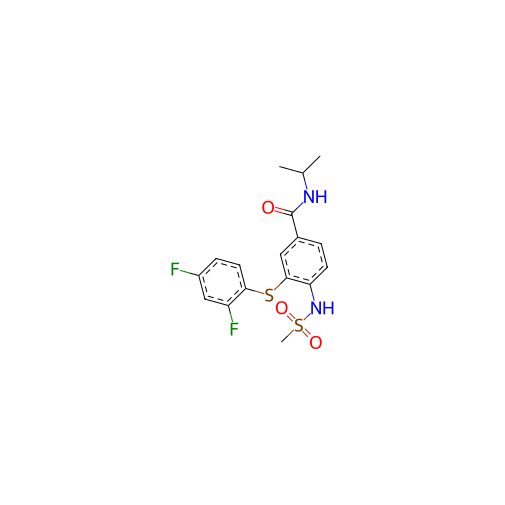 CC(C)NC(=O)c1ccc(NS(C)(=O)=O)c(Sc2ccc(F)cc2F)c1